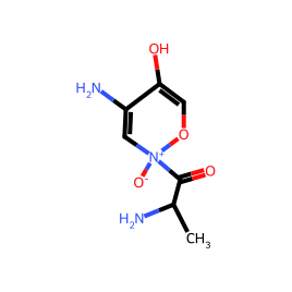 CC(N)C(=O)[N+]1([O-])C=C(N)C(O)=CO1